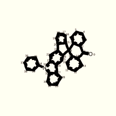 O=C1c2ccccc2C2(c3ccccc31)c1ccccc1-c1cc3c(cc12)c1ccccc1n3-c1ccccc1